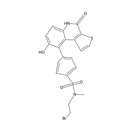 CN(CCBr)S(=O)(=O)c1ccc(-c2c(O)ccc3[nH]c(=O)c4sccc4c23)cc1